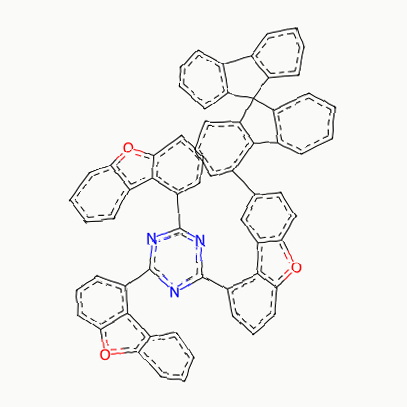 c1ccc2c(c1)-c1ccccc1C21c2ccccc2-c2c(-c3ccc4oc5cccc(-c6nc(-c7cccc8oc9ccccc9c78)nc(-c7cccc8oc9ccccc9c78)n6)c5c4c3)cccc21